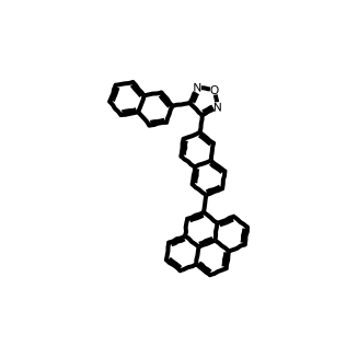 c1ccc2cc(-c3nonc3-c3ccc4cc(-c5cc6cccc7ccc8cccc5c8c76)ccc4c3)ccc2c1